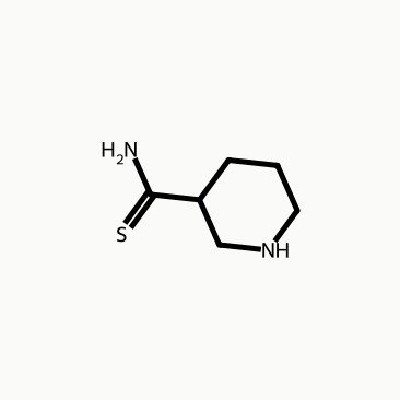 NC(=S)C1CCCNC1